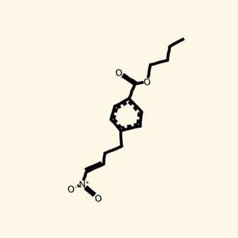 CCCCOC(=O)c1ccc(CCC=C[N+](=O)[O-])cc1